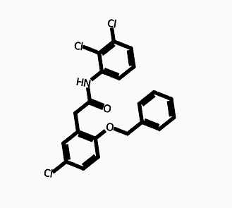 O=C(Cc1cc(Cl)ccc1OCc1ccccc1)Nc1cccc(Cl)c1Cl